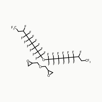 C(OCC1CO1)C1CO1.FC(CC(F)(F)F)C(F)(F)C(F)(F)C(F)(F)C(F)(F)C(F)(F)C(F)(F)OC(F)(F)C(F)(F)C(F)(F)C(F)(F)C(F)(F)C(F)(F)C(F)CC(F)(F)F